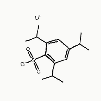 CC(C)c1cc(C(C)C)c(S(=O)(=O)[O-])c(C(C)C)c1.[Li+]